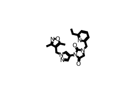 CCc1cccc(CN2CC(=O)N(c3cnn(Cc4c(C)noc4C)c3)C2=O)n1